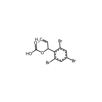 C=CC(OC(=O)O)c1c(Br)cc(Br)cc1Br